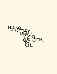 C=CC(=O)OCCN(C)C(=O)N(CCOC(=O)C=C)C(=O)N(C=O)CCOC(=O)C=C